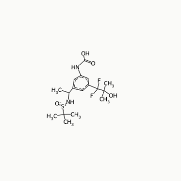 CC(N[S@+]([O-])C(C)(C)C)c1cc(NC(=O)O)cc(C(F)(F)C(C)(C)O)c1